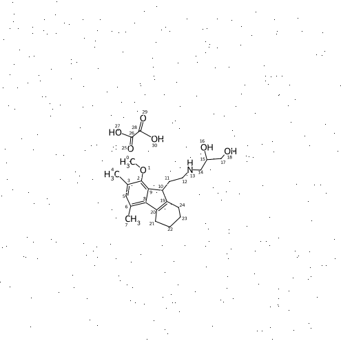 COc1c(C)cc(C)c2c1C(CCNCC(O)CO)C1=C2CCCC1.O=C(O)C(=O)O